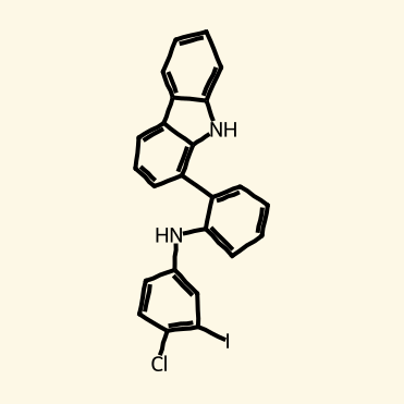 Clc1ccc(Nc2ccccc2-c2cccc3c2[nH]c2ccccc23)cc1I